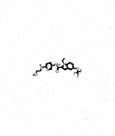 CCn1c(C(=O)Nc2ccc(N(C)CCOC)nc2)cc2cc(OC(F)(F)F)ccc21